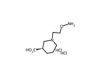 Cl.Cl.NOCCN1CCC[C@@H](C(=O)O)C1